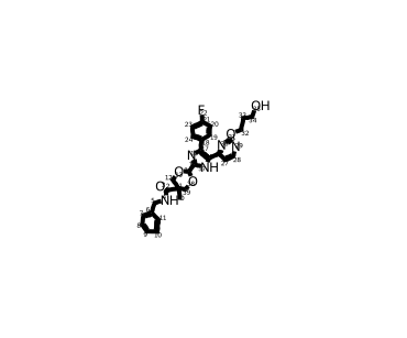 CC1(C(=O)NCc2ccccc2)COC(c2nc(-c3ccc(F)cc3)c(-c3ccnc(OCCCO)n3)[nH]2)OC1